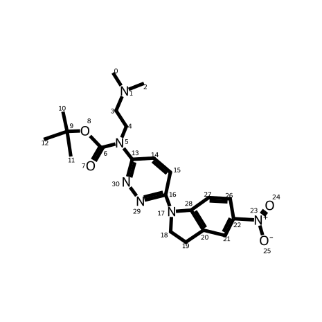 CN(C)CCN(C(=O)OC(C)(C)C)c1ccc(N2CCc3cc([N+](=O)[O-])ccc32)nn1